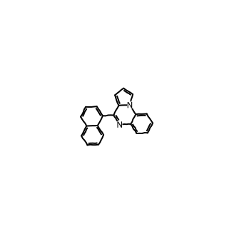 c1ccc2c(-c3nc4ccccc4n4cccc34)cccc2c1